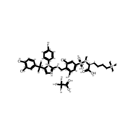 CN([C@@H](CCCC[N+](C)(C)C)C(=O)O)S(=O)(=O)c1cc(F)c(CSc2ncc(C(C)(C)c3ccc(Cl)c(Cl)c3)n2-c2ccc(F)cc2)c(Cl)c1.O=C([O-])C(F)(F)F